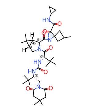 CC1CC(NC(=O)[C@@H]2[C@@H]3[C@H](CN2C(=O)[C@@H](NC(=O)N[C@H](CN2C(=O)CC(C)(C)CC2=O)C(C)(C)C)C(C)(C)C)C3(C)C)(C(=O)C(=O)NC2CC2)C1